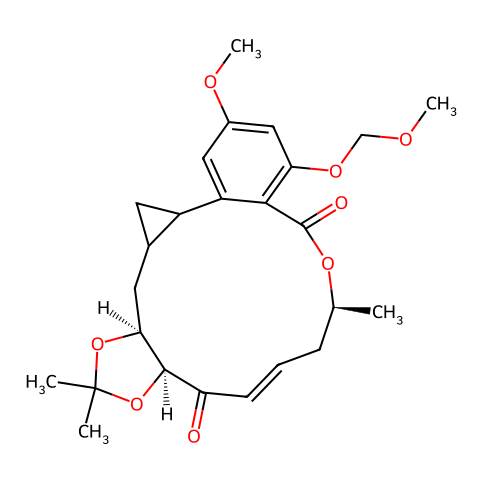 COCOc1cc(OC)cc2c1C(=O)O[C@@H](C)C/C=C/C(=O)[C@H]1OC(C)(C)O[C@H]1CC1CC21